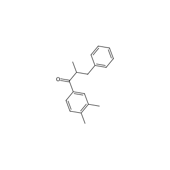 Cc1ccc(C(=O)C(C)Cc2ccccc2)cc1C